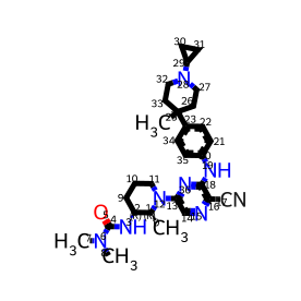 C[C@@H]1[C@H](NC(=O)N(C)C)CCCN1c1cnc(C#N)c(Nc2ccc(C3(C)CCN(C4CC4)CC3)cc2)n1